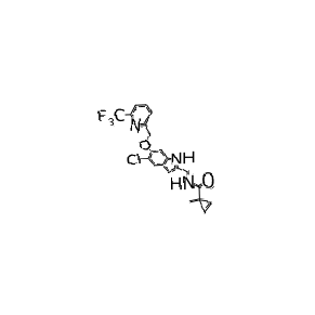 CC1(C(=O)NCc2cc3cc(Cl)c(OCc4cccc(C(F)(F)F)n4)cc3[nH]2)CC1